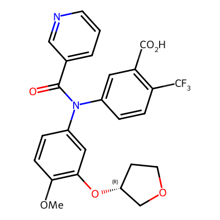 COc1ccc(N(C(=O)c2cccnc2)c2ccc(C(F)(F)F)c(C(=O)O)c2)cc1O[C@@H]1CCOC1